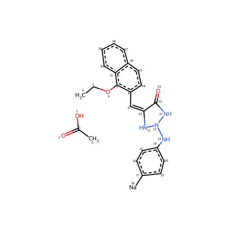 CC(=O)O.CCOc1c(/C=C2/NN(Nc3cc[c]([Na])cc3)NC2=O)ccc2ccccc12